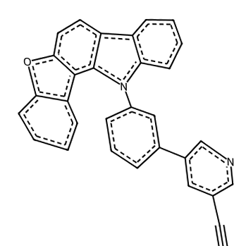 N#Cc1cncc(-c2cccc(-n3c4ccccc4c4ccc5oc6ccccc6c5c43)c2)c1